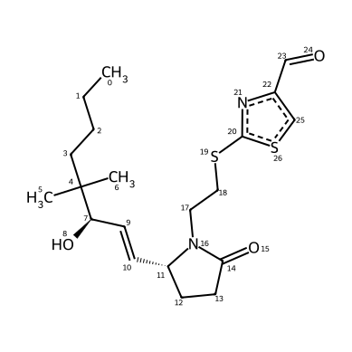 CCCCC(C)(C)[C@H](O)/C=C/[C@H]1CCC(=O)N1CCSc1nc(C=O)cs1